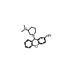 CCCc1ccc2c(c1)C(N1CCCC(N(C)C)C1)c1ccccc1O2